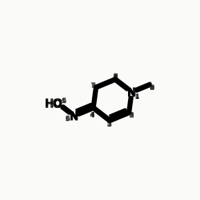 CN1C=C/C(=N/O)CC1